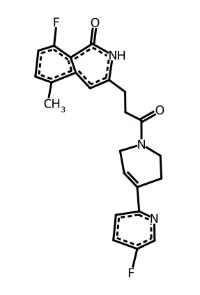 Cc1ccc(F)c2c(=O)[nH]c(CCC(=O)N3CC=C(c4ccc(F)cn4)CC3)cc12